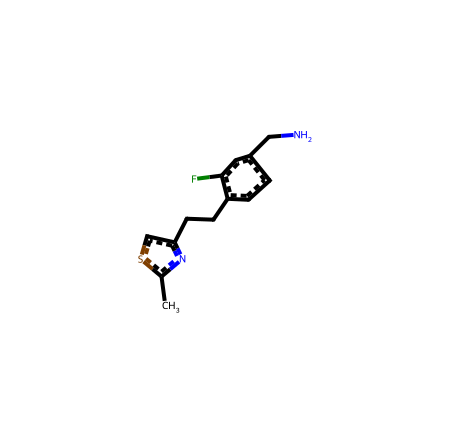 Cc1nc(CCc2ccc(CN)cc2F)cs1